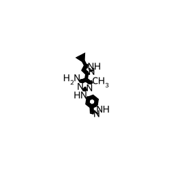 Cc1nc(Nc2ccc3[nH]ncc3c2)nc(N)c1-c1cc(C2CC2)[nH]n1